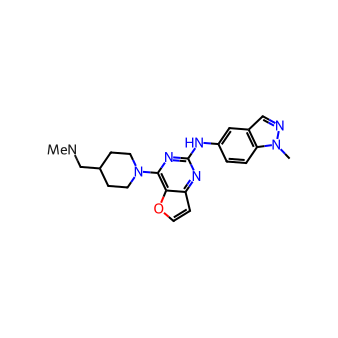 CNCC1CCN(c2nc(Nc3ccc4c(cnn4C)c3)nc3ccoc23)CC1